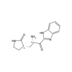 N[C@@H](C[C@@H]1CCNC1=O)C(=O)c1nc2ccccc2[nH]1